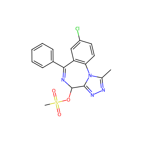 Cc1nnc2n1-c1ccc(Cl)cc1C(c1ccccc1)=NC2OS(C)(=O)=O